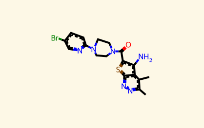 Cc1nnc2sc(C(=O)N3CCN(c4ccc(Br)cn4)CC3)c(N)c2c1C